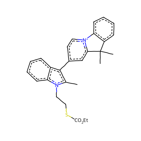 CCOC(=O)SCCn1c(C)c(-c2cc[n+]3c(c2)C(C)(C)c2ccccc2-3)c2ccccc21